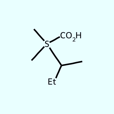 CCC(C)S(C)(C)C(=O)O